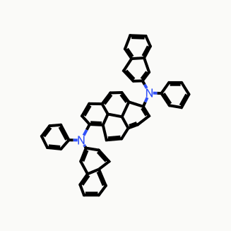 C1=CC2=C(N(c3ccccc3)c3ccc4ccccc4c3)C=CC3=CC=C4C(N(c5ccccc5)c5ccc6ccccc6c5)=CC=C1C4C32